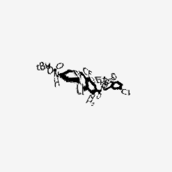 CCS(=O)(=O)c1ccc(Cl)cc1CNC(=O)c1cc(C(F)(F)F)c(CN2CC[C@@H](NC(=O)OC(C)(C)C)C2)c(Cl)c1N